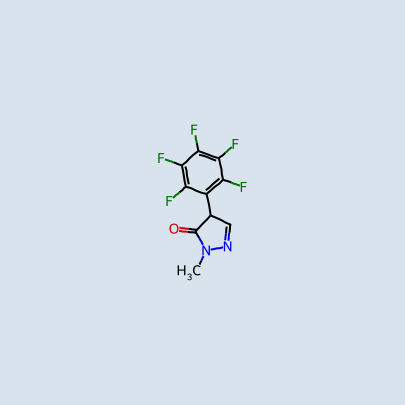 CN1N=CC(c2c(F)c(F)c(F)c(F)c2F)C1=O